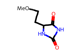 COCCC1NC(=O)NC1=O